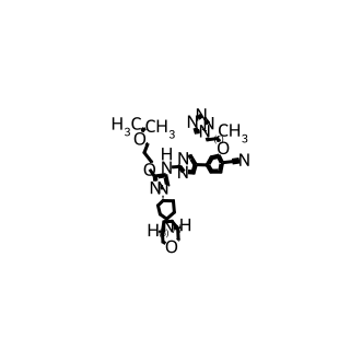 CC(C)OCCCOc1nn([C@H]2CC[C@H](N3[C@@H]4CC[C@H]3COC4)CC2)cc1Nc1ncc(-c2ccc(C#N)c(O[C@@H](C)Cn3cnnn3)c2)cn1